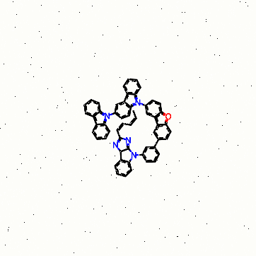 C/C=C\C=C/C1=NC2C(=N1)N(c1cccc(-c3ccc4oc5ccc(-n6c7ccccc7c7cc(-n8c9ccccc9c9ccccc98)ccc76)cc5c4c3)c1)c1ccccc12